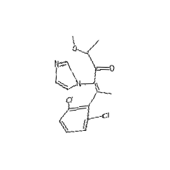 COC(C)C(=O)C(=C(C)c1c(Cl)cccc1Cl)n1ccnc1